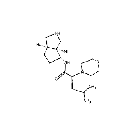 CC(C)C[C@@H](C(=O)N[C@@H]1CC[C@H]2CNC[C@H]21)N1CCOCC1